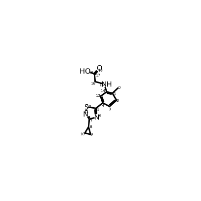 Cc1ccc(-c2nc(C3CC3)ns2)cc1NCC(=O)O